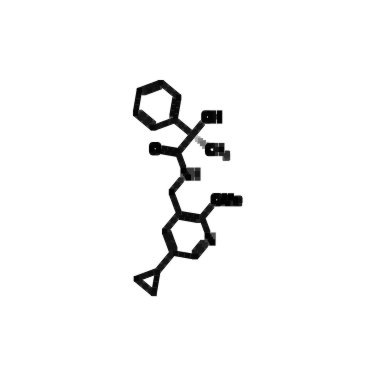 COc1ncc(C2CC2)cc1CNC(=O)[C@](C)(O)c1ccccc1